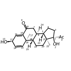 CC(=O)[C@@]1(O)CC[C@H]2[C@@H]3CC(=O)C4=C[C@H](O)C=C[C@]4(C)[C@H]3CC[C@@]21C